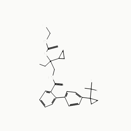 CCC(CNC(=O)c1ccccc1-c1ccc(C2(C(F)(F)F)CC2)cc1)(NC(=O)NCO)C1CC1